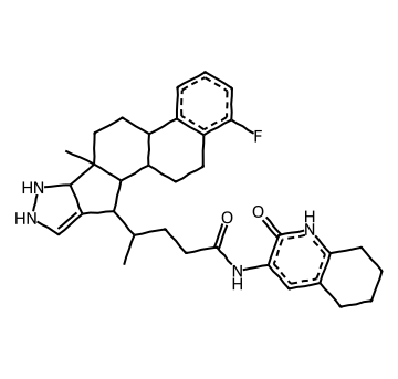 CC(CCC(=O)Nc1cc2c([nH]c1=O)CCCC2)C1C2=CNNC2C2(C)CCC3c4cccc(F)c4CCC3C12